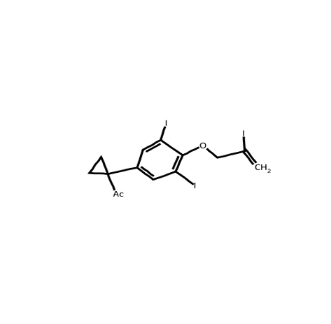 C=C(I)COc1c(I)cc(C2(C(C)=O)CC2)cc1I